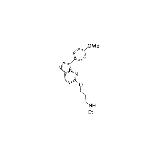 CCNCCCOc1ccc2ncc(-c3ccc(OC)cc3)n2n1